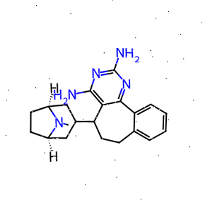 CN1[C@@H]2CC[C@H]1CC(C1CCc3ccccc3-c3nc(N)nc(N)c31)C2